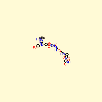 CCCCNc1ncc2c(-c3ccc(S(=O)(=O)N4CCN(C(=O)NCCCOCCCNc5cccc6c5C(=O)N(C5CCC(=O)NC5=O)C6=O)CC4)cc3)nn([C@H]3CC[C@H](O)CC3)c2n1